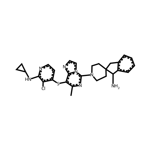 Cc1nc(N2CCC3(CC2)Cc2ccccc2C3N)n2ccnc2c1Sc1ccnc(NC2CC2)c1Cl